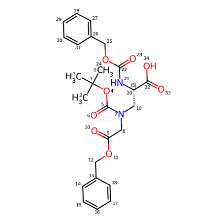 CC(C)(C)OC(=O)N(CC(=O)OCc1ccccc1)C[C@H](NC(=O)OCc1ccccc1)C(=O)O